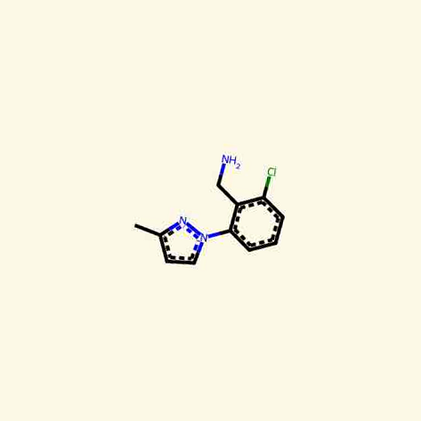 Cc1ccn(-c2cccc(Cl)c2CN)n1